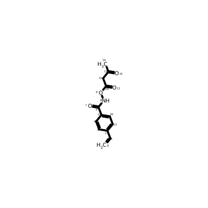 C=Cc1ccc(C(=O)NOC(=O)CC(C)=O)cc1